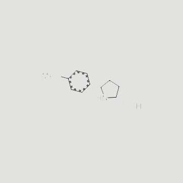 COc1ccc([C@@H]2CC[C@H](C(=O)O)N2)cc1